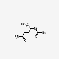 CCC(C)C(=O)NC(CCC(N)=O)C(=O)O